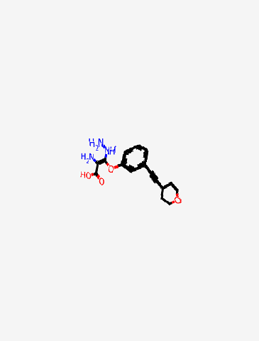 NN/C(Oc1cccc(C#CC2CCOCC2)c1)=C(\N)C(=O)O